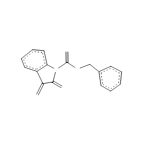 C=C1C(=O)N(C(=O)OCc2ccccc2)c2ccccc21